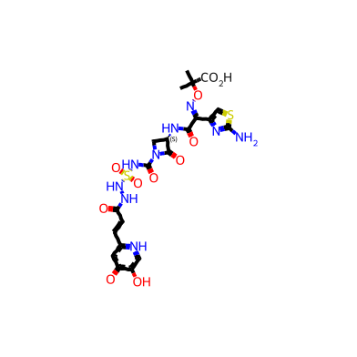 CC(C)(ON=C(C(=O)N[C@H]1CN(C(=O)NS(=O)(=O)NNC(=O)C=Cc2cc(=O)c(O)c[nH]2)C1=O)c1csc(N)n1)C(=O)O